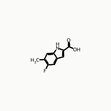 Cc1cc2[nH]c(C(=O)O)cc2cc1F